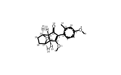 COC1=C(c2ccc(OC)cc2C)C(=O)[C@@H]2[C@H]1[C@H]1CC[C@@H]2O1